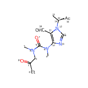 CCC(=O)CN(C)C(=O)N(C)c1ncn([C@@H](C)C(C)=O)c1C=O